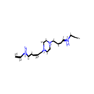 CCNCCCN1CCN(CCCNCC)CC1